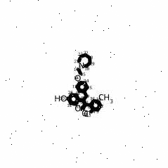 Cc1ccc(Cl)c(-c2c(Cc3ccc(OCCN4CCCCCC4)cc3)c3ccc(O)cc3oc2=O)c1